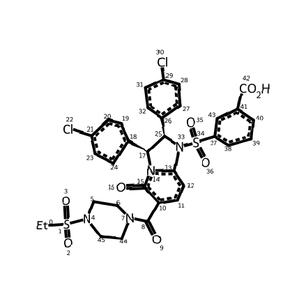 CCS(=O)(=O)N1CCN(C(=O)c2ccc3n(c2=O)[C@@H](c2ccc(Cl)cc2)[C@@H](c2ccc(Cl)cc2)N3S(=O)(=O)c2cccc(C(=O)O)c2)CC1